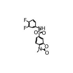 Cn1c(=O)oc2cc(S(=O)(=O)Nc3ccc(F)c(F)c3)ccc21